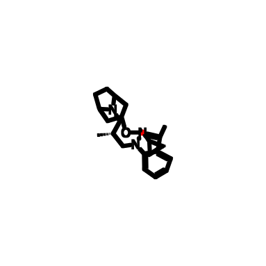 Cc1nn(C[C@H](C)CN2C3CCC2CC(OCC2CC2)C3)c2ccccc12